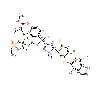 C=CS(=O)(=O)CC(C)(C)CCC[C@](C)(c1cccc(C[C@@H](C)C(=O)OC)c1)c1nc(-c2cc(Oc3c(F)c(F)c4[nH]ccc4c3Br)ccc2F)n(C)n1